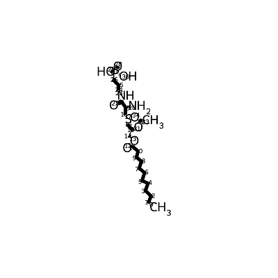 CCCCCCCCCCCC(=O)OC[C@H](CSC[C@H](N)C(=O)NCCCP(=O)(O)O)OC(C)=O